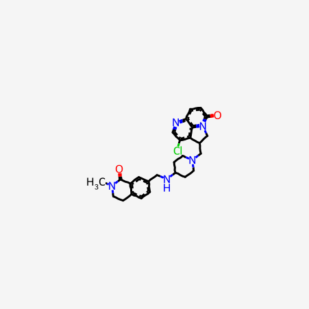 CN1CCc2ccc(CNC3CCN(CC4Cn5c(=O)ccc6ncc(Cl)c4c65)CC3)cc2C1=O